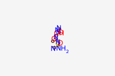 Cc1cc(-c2sc(C(=O)N3CC[C@@H](C(=O)N4CCC(O)(Cn5cnc6c(ccn6C)c5=O)CC4)[C@H](c4ccccc4)C3)cc2N)ccn1